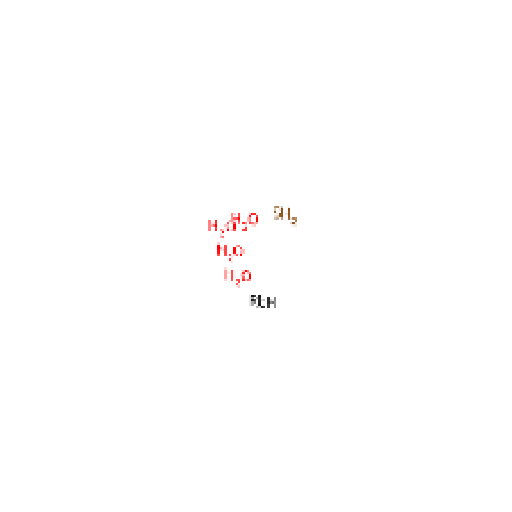 O.O.O.O.S.[RbH]